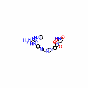 NC(=O)c1nnc(N2CCCCC2)nc1Nc1ccc(N2CC(CN3CCN(c4ccc5c(c4)C(=O)N(C4CCC(=O)NC4=O)C5=O)CC3)C2)cc1